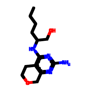 CCCCC(CO)Nc1nc(N)nc2c1CCOC2